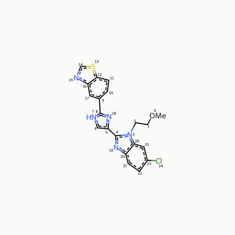 COCCn1c(-c2c[nH]c(-c3ccc4scnc4c3)n2)nc2ccc(Cl)cc21